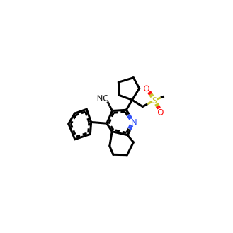 CS(=O)(=O)CC1(c2nc3c(c(-c4ccccc4)c2C#N)CCCC3)CCCC1